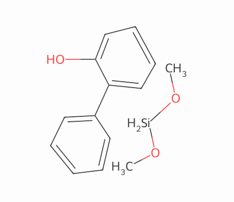 CO[SiH2]OC.Oc1ccccc1-c1ccccc1